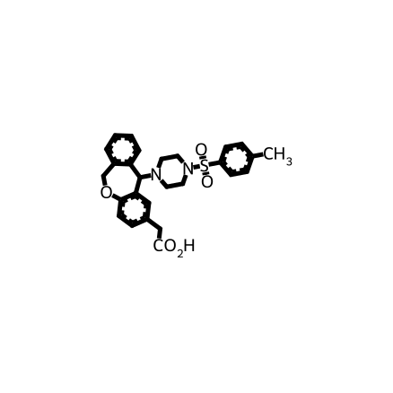 Cc1ccc(S(=O)(=O)N2CCN(C3c4ccccc4COc4ccc(CC(=O)O)cc43)CC2)cc1